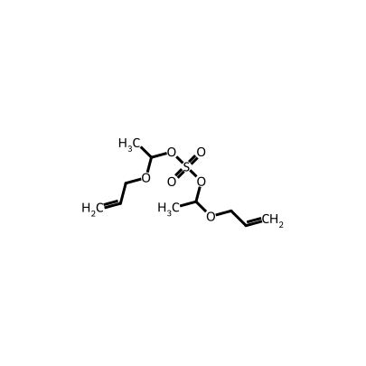 C=CCOC(C)OS(=O)(=O)OC(C)OCC=C